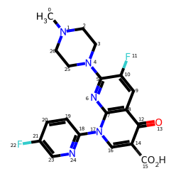 CN1CCN(c2nc3c(cc2F)c(=O)c(C(=O)O)cn3-c2ccc(F)cn2)CC1